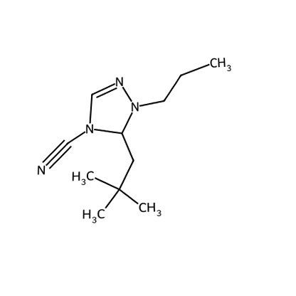 CCCN1N=CN(C#N)C1CC(C)(C)C